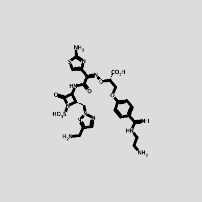 N=C(NCCN)c1ccc(OC[C@H](O/N=C(\C(=O)NC2C(=O)N(S(=O)(=O)O)[C@H]2Cn2ncc(CN)n2)c2csc(N)n2)C(=O)O)cc1